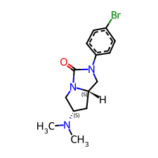 CN(C)[C@H]1C[C@H]2CN(c3ccc(Br)cc3)C(=O)N2C1